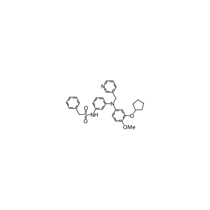 COc1ccc(N(Cc2cccnc2)c2cccc(NS(=O)(=O)Cc3ccccc3)c2)cc1OC1CCCC1